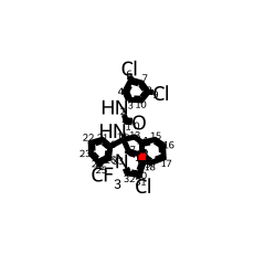 O=C(Nc1cc(Cl)cc(Cl)c1)NC(Cc1ccccc1)(c1cccc(C(F)(F)F)c1)c1ccc(Cl)cn1